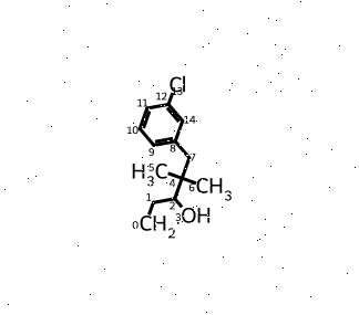 [CH2]CC(O)C(C)(C)Cc1cccc(Cl)c1